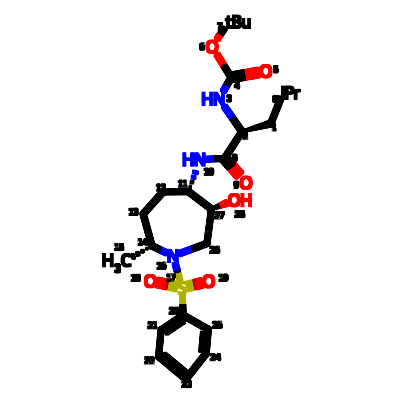 CC(C)C[C@H](NC(=O)OC(C)(C)C)C(=O)N[C@H]1CC[C@@H](C)N(S(=O)(=O)c2ccccc2)C[C@@H]1O